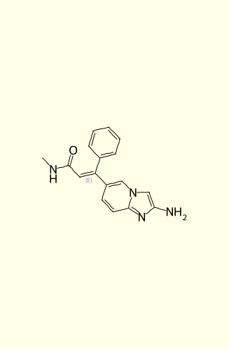 CNC(=O)/C=C(\c1ccccc1)c1ccc2nc(N)cn2c1